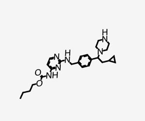 CCCCOC(=O)Nc1ccnc(NCc2ccc(C(CC3CC3)N3CCNCC3)cc2)n1